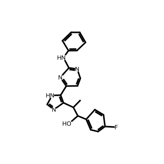 CC(c1nc[nH]c1-c1ccnc(Nc2ccccc2)n1)C(O)c1ccc(F)cc1